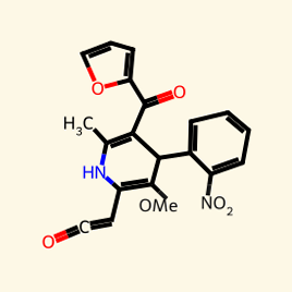 COC1=C(C=C=O)NC(C)=C(C(=O)c2ccco2)C1c1ccccc1[N+](=O)[O-]